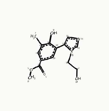 COC(=O)c1cc(C)c(O)c(-c2cncn2CCO)c1